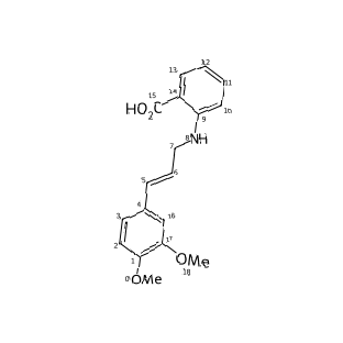 COc1ccc(C=CCNc2ccccc2C(=O)O)cc1OC